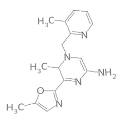 Cc1cnc(C2=NC(N)=CN(Cc3ncccc3C)C2C)o1